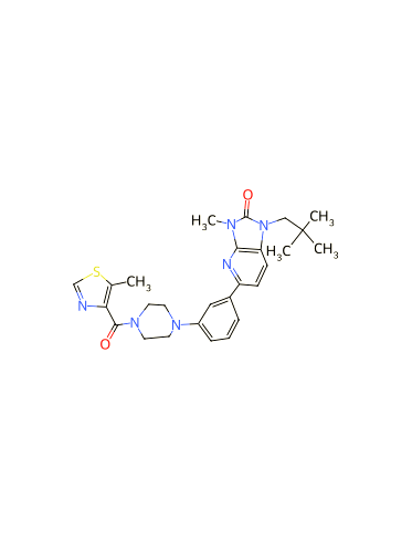 Cc1scnc1C(=O)N1CCN(c2cccc(-c3ccc4c(n3)n(C)c(=O)n4CC(C)(C)C)c2)CC1